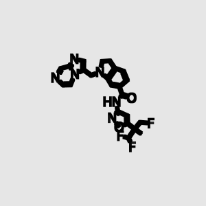 CC(CF)(c1cc(NC(=O)c2ccc3c(c2)N(Cc2cnc4cnccn24)CC3)no1)C(F)F